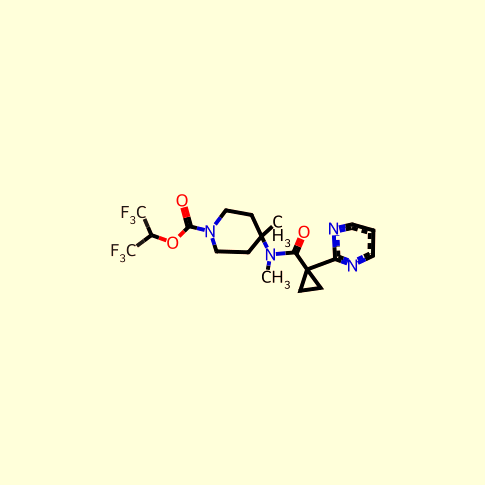 CN(C(=O)C1(c2ncccn2)CC1)C1(C)CCN(C(=O)OC(C(F)(F)F)C(F)(F)F)CC1